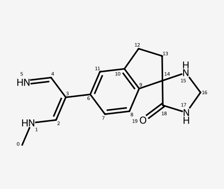 CN/C=C(\C=N)c1ccc2c(c1)CCC21NCNC1=O